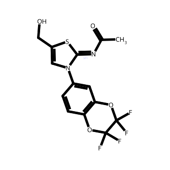 CC(=O)/N=c1\sc(CO)cn1-c1ccc2c(c1)OC(F)(F)C(F)(F)O2